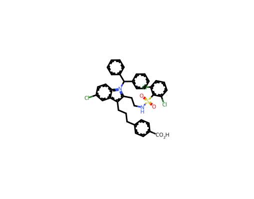 O=C(O)c1ccc(CCCc2c(CCNS(=O)(=O)c3c(Cl)cccc3Cl)n(C(c3ccccc3)c3ccccc3)c3ccc(Cl)cc23)cc1